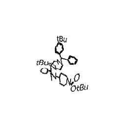 CN(C(=O)N1CCN(C(c2ccccc2)c2ccc(C(C)(C)C)cc2)C[C@@H]1C(C)(C)C)C1CCN(C(=O)OC(C)(C)C)CC1